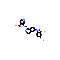 Cc1ccc(Nc2ccc3c(c2)CCN[C@@H]3CNc2cnccc2C(=O)O)c(C)c1